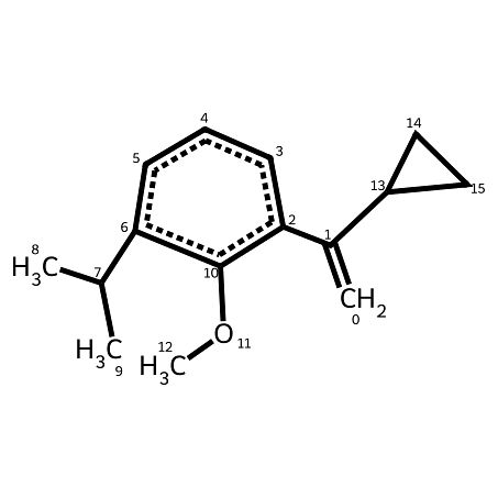 C=C(c1cccc(C(C)C)c1OC)C1CC1